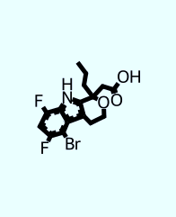 CCCC1(CC(=O)O)OCCc2c1[nH]c1c(F)cc(F)c(Br)c21